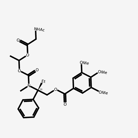 CC[C@@](COC(=O)c1cc(OC)c(OC)c(OC)c1)(c1ccccc1)N(C)C(=O)OC(C)OC(=O)CNC(C)=O